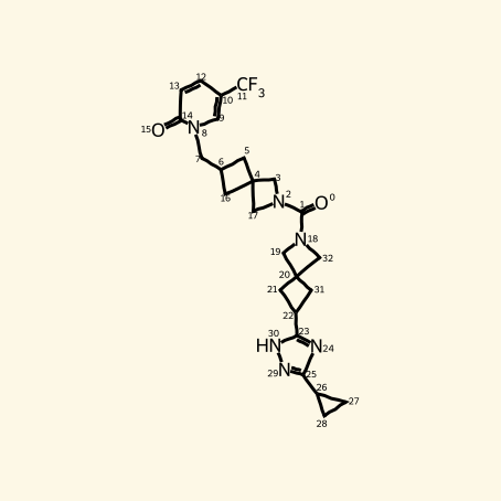 O=C(N1CC2(CC(Cn3cc(C(F)(F)F)ccc3=O)C2)C1)N1CC2(CC(c3nc(C4CC4)n[nH]3)C2)C1